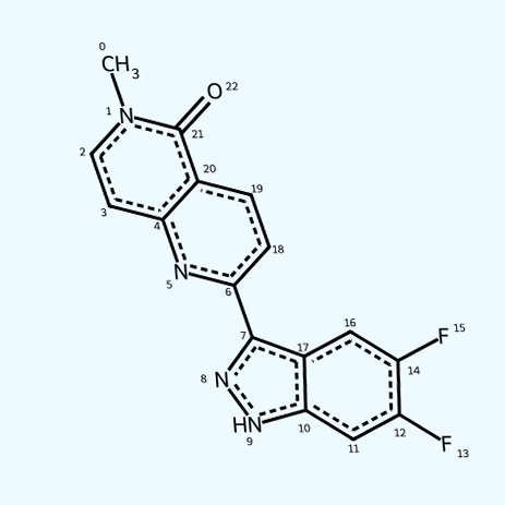 Cn1ccc2nc(-c3n[nH]c4cc(F)c(F)cc34)ccc2c1=O